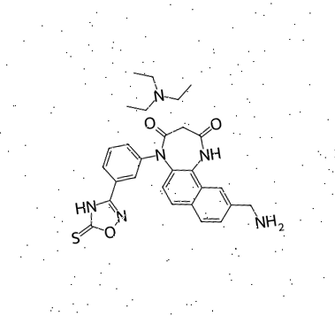 CCN(CC)CC.NCc1ccc2ccc3c(c2c1)NC(=O)CC(=O)N3c1cccc(-c2noc(=S)[nH]2)c1